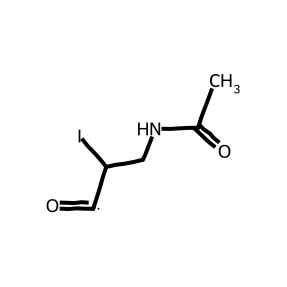 CC(=O)NCC(I)[C]=O